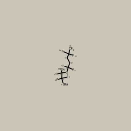 CC(C)(C)C(F)(F)C(F)(OC(F)(F)CCC(F)(F)C(F)(F)F)C(C)(C)C